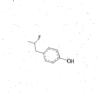 CC(F)Cc1ccc(O)cc1